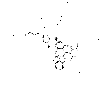 C[C@@H]1Cc2c([nH]c3ccccc23)[C@H](c2c(F)cc(NC3CN(CCCF)CC3F)cc2F)N1C(F)C(F)F